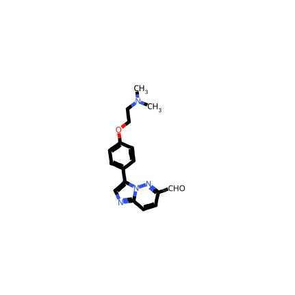 CN(C)CCOc1ccc(-c2cnc3ccc(C=O)nn23)cc1